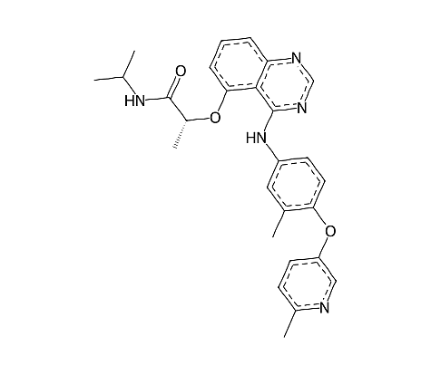 Cc1ccc(Oc2ccc(Nc3ncnc4cccc(O[C@H](C)C(=O)NC(C)C)c34)cc2C)cn1